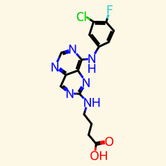 O=C(O)CCCNc1ncc2ncnc(Nc3ccc(F)c(Cl)c3)c2n1